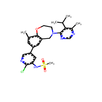 Cc1cc(-c2cnc(Cl)c(NS(C)(=O)=O)c2)cc2c1OCCN(c1ncnc(C)c1C(C)C)C2